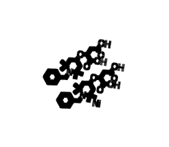 CC1(C)CC(OC(CC(=O)O)C(=O)O)CC(C)(C)N1Cc1ccccc1.CC1(C)CC(OC(CC(=O)O)C(=O)O)CC(C)(C)N1Cc1ccccc1.[Ni]